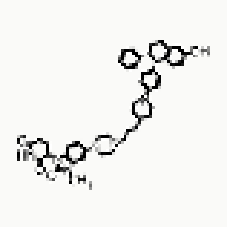 Cn1c(=O)n(C2CCC(=O)NC2=O)c2ccc(N3CCN(CCCC4CCN(c5ccc([C@@H]6c7ccc(O)cc7CC[C@@H]6c6ccccc6)cc5)CC4)CC3)cc21